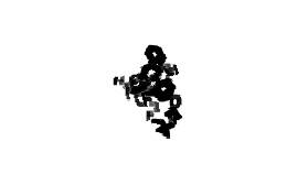 C[C@@H]1Cc2c([nH]c3ccccc23)[C@@H](c2c(F)cc(OC3CN(CC4(CCF)CC4)C3)cc2F)N1CC(C)(C)F